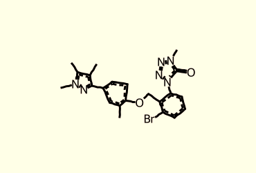 Cc1cc(-c2nn(C)c(C)c2C)ccc1OCc1c(Br)cccc1-n1nnn(C)c1=O